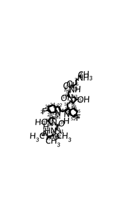 CC[C@H](NC(=O)CCNC)C(=O)N1C[C@@H](O)C[C@H]1Cc1c(-c2cc3ccc(F)cc3n2C[C@H]2C[C@H](O)CN2C(=O)[C@H](CC)NC(=O)[C@H](C)NC)[nH]c2cc(F)ccc12